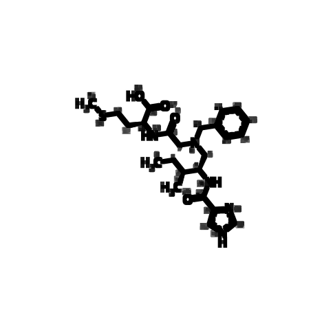 CC[C@H](C)[C@@H](CN(CC(=O)N[C@@H](CCSC)C(=O)O)Cc1ccccc1)NC(=O)c1c[nH]cn1